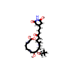 CO[C@H]1/C=C/CC/C=C/C(=O)O[C@H]([C@H](C)C(=O)CCCC2CC(=O)NC(=O)C2)/C(C)=C\[C@@H](C)[C@@H]1O[Si](C)(C)C(C)(C)C